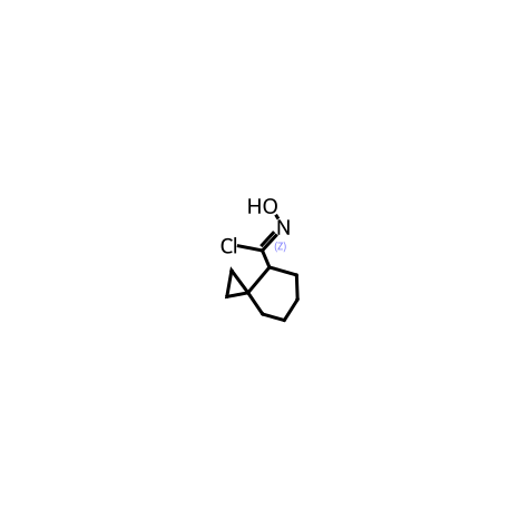 O/N=C(\Cl)C1CCCCC12CC2